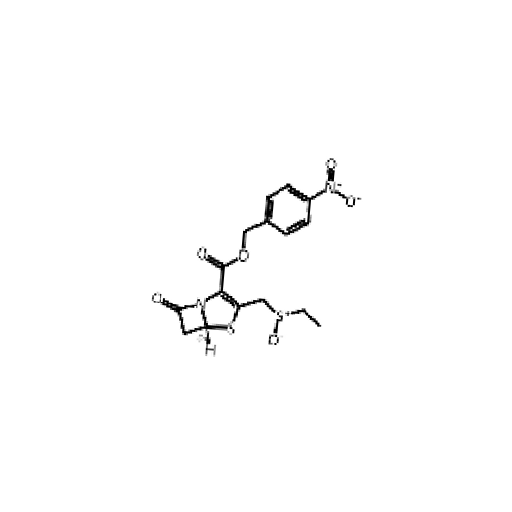 CC[S+]([O-])CC1=C(C(=O)OCc2ccc([N+](=O)[O-])cc2)N2C(=O)C[C@H]2S1